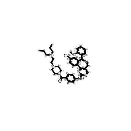 CCCN(CCC)CCN1CCN(C(=O)c2ccc(Nc3ncc4c(n3)-c3ccc(Cl)cc3C(c3ccccc3OC)=NC4)cc2)CC1